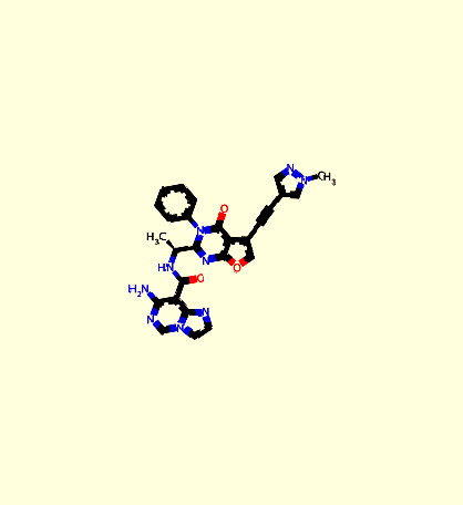 C[C@H](NC(=O)c1c(N)ncn2ccnc12)c1nc2occ(C#Cc3cnn(C)c3)c2c(=O)n1-c1ccccc1